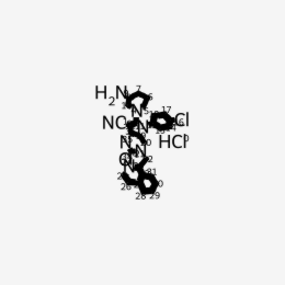 Cl.N#CC1=C(N2CCC[C@H](N)C2)N(c2ccc(Cl)cc2)C2CN(Cc3nccc4ccccc34)C(=O)N=C12